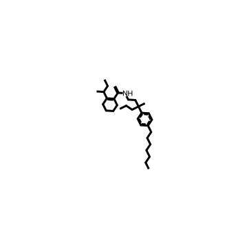 C=C(NCCC(C)(CCC)c1ccc(CCCCCCC)cc1)C1=C(C(C)CC)CCCC1